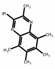 Cc1nc2c(C)c(C)c(C)c(C)c2nc1C(C)C